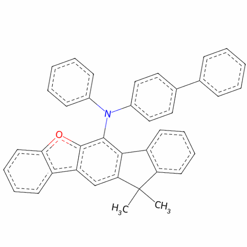 CC1(C)c2ccccc2-c2c1cc1c(oc3ccccc31)c2N(c1ccccc1)c1ccc(-c2ccccc2)cc1